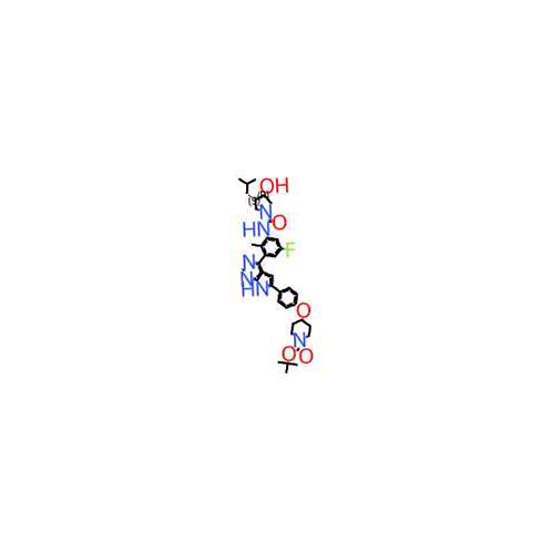 Cc1c(NC(=O)N2C[C@H](CC(C)C)[C@@H](O)C2)cc(F)cc1-c1ncnc2[nH]c(-c3ccc(OC4CCN(C(=O)OC(C)(C)C)CC4)cc3)cc12